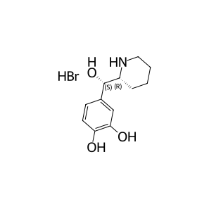 Br.Oc1ccc([C@H](O)[C@H]2CCCCN2)cc1O